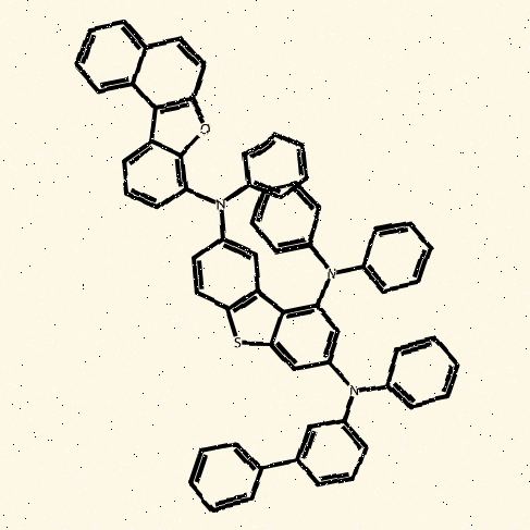 c1ccc(-c2cccc(N(c3ccccc3)c3cc(N(c4ccccc4)c4ccccc4)c4c(c3)sc3ccc(N(c5ccccc5)c5cccc6c5oc5ccc7ccccc7c56)cc34)c2)cc1